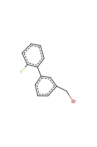 Fc1ccccc1-c1cccc(CBr)c1